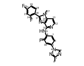 Cc1ncn(-c2ccc(Nc3nccc4c3nc(-c3ccc(F)cc3F)n4C)c(F)c2)n1